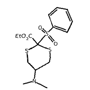 CCOC(=O)C1(S(=O)(=O)c2ccccc2)SCC(N(C)C)CS1